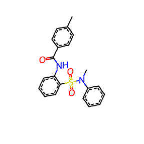 Cc1ccc(C(=O)Nc2ccccc2S(=O)(=O)N(C)c2ccccc2)cc1